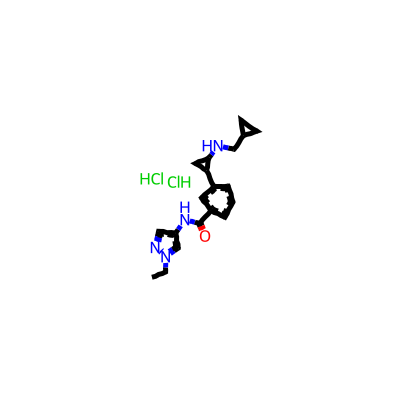 CCn1cc(NC(=O)c2cccc(C3CC3NCC3CC3)c2)cn1.Cl.Cl